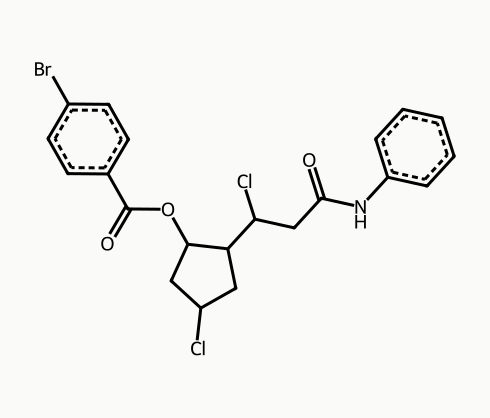 O=C(CC(Cl)C1CC(Cl)CC1OC(=O)c1ccc(Br)cc1)Nc1ccccc1